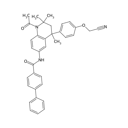 CC(=O)N1c2ccc(NC(=O)c3ccc(-c4ccccc4)cc3)cc2C(C)(c2ccc(OCC#N)cc2)CC1(C)C